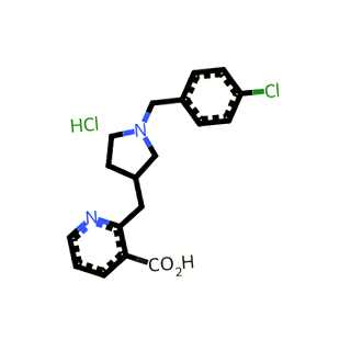 Cl.O=C(O)c1cccnc1CC1CCN(Cc2ccc(Cl)cc2)C1